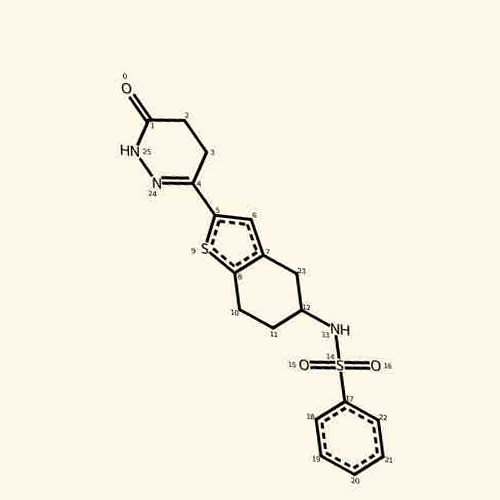 O=C1CCC(c2cc3c(s2)CCC(NS(=O)(=O)c2ccccc2)C3)=NN1